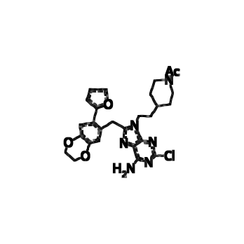 CC(=O)N1CCC(CCn2c(Cc3cc4c(cc3-c3ccco3)OCCO4)nc3c(N)nc(Cl)nc32)CC1